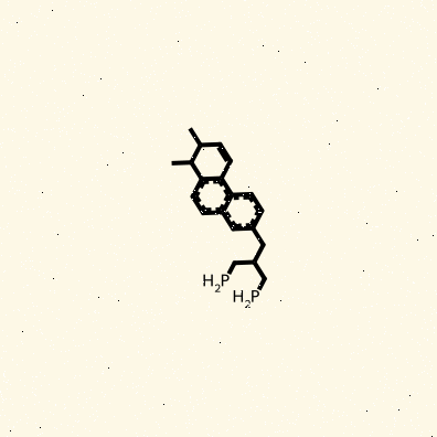 CC1C=Cc2c(ccc3cc(CC(CP)CP)ccc23)C1C